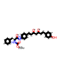 CC(C)(C)OC(=O)N[C@@H](Cc1ccccc1)C(=O)Nc1ccc(/C=C/C(=O)CC(=O)/C=C/c2ccc(O)cc2)cc1